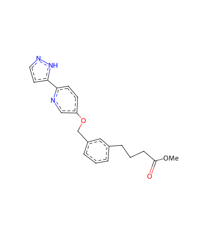 COC(=O)CCCc1cccc(COc2ccc(-c3ccn[nH]3)nc2)c1